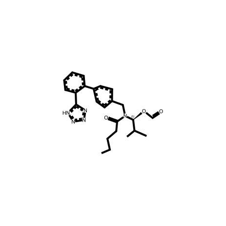 CCCCC(=O)N(Cc1ccc(-c2ccccc2-c2nnn[nH]2)cc1)[C@@H](OC=O)C(C)C